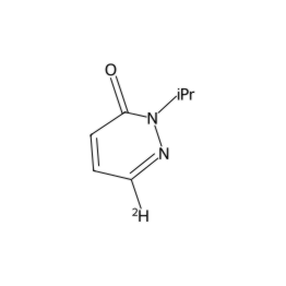 [2H]c1ccc(=O)n(C(C)C)n1